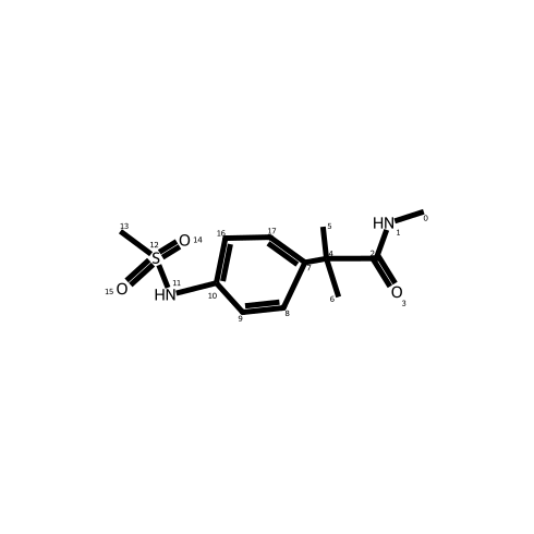 CNC(=O)C(C)(C)c1ccc(NS(C)(=O)=O)cc1